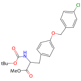 COC(=O)C(Cc1ccc(OCc2ccc(Cl)cc2)cc1)NC(=O)OC(C)(C)C